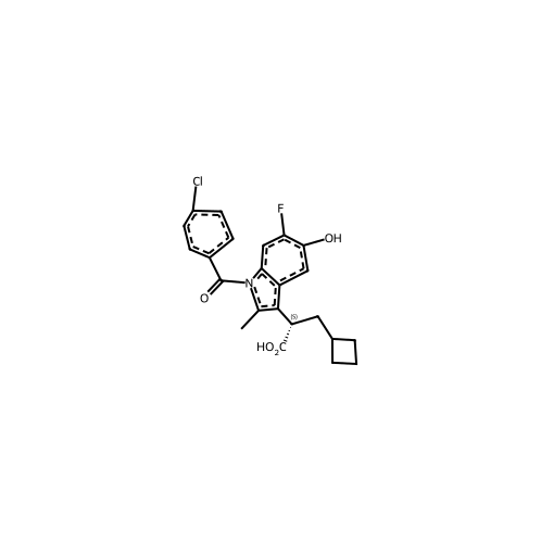 Cc1c([C@H](CC2CCC2)C(=O)O)c2cc(O)c(F)cc2n1C(=O)c1ccc(Cl)cc1